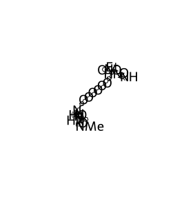 CCN(c1cc(-c2ccc(OCCOCCOCCOCCOCCOc3ccc(CCN4CC[C@@H]5CCN(C(=O)[C@@H](NC(=O)[C@H](C)NC)C6CCCCC6)[C@@H]5C4)cc3)cc2)cc(C(=O)NCc2c(C)cc(C)[nH]c2=O)c1C)C1CCOCC1